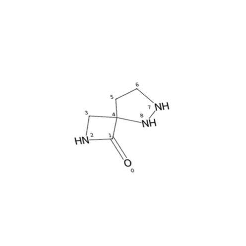 O=C1NCC12CCNN2